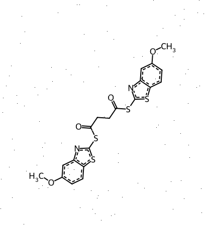 COc1ccc2sc(SC(=O)CCC(=O)Sc3nc4cc(OC)ccc4s3)nc2c1